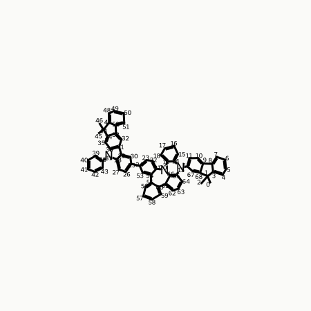 CC1(C)c2ccccc2-c2ccc(N3c4ccccc4N4c5ccc(-c6ccc7c(c6)c6cc8c(cc6n7-c6ccccc6)C(C)(C)c6ccccc6-8)cc5-c5ccccc5-c5cccc3c54)cc21